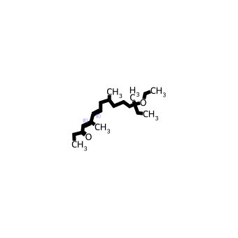 CCOC(C)(CC)CCCC(C)C/C=C/C(C)=C/C(=O)CC